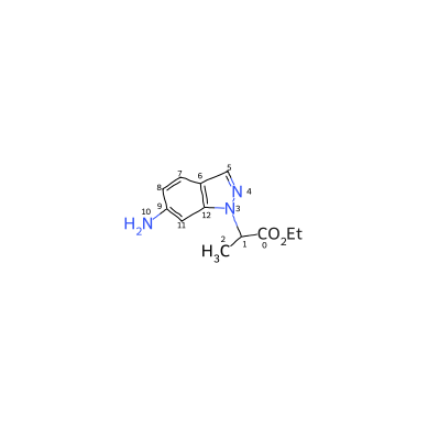 CCOC(=O)C(C)n1ncc2ccc(N)cc21